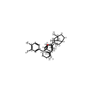 Fc1ccc(N2CCCn3nc(N[C@@H]4C5CC[C@H]4CN(c4ccnc(C(F)(F)F)c4)C5)nc32)cc1F